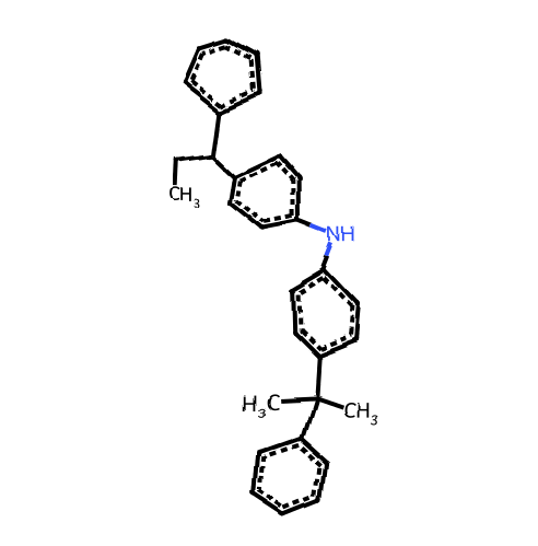 CCC(c1ccccc1)c1ccc(Nc2ccc(C(C)(C)c3ccccc3)cc2)cc1